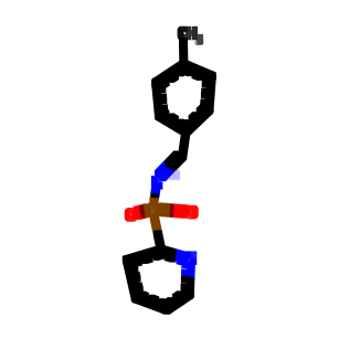 Cc1ccc(/C=N/S(=O)(=O)c2ccccn2)cc1